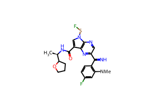 CNc1cc(F)ccc1C(=N)c1cnc2c(n1)c(C(=O)N[C@H](C)C1CCCO1)cn2SF